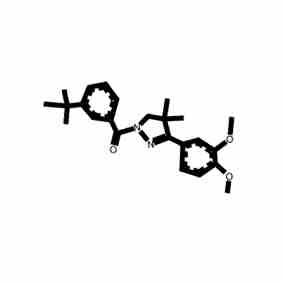 COc1ccc(C2=NN(C(=O)c3cccc(C(C)(C)C)c3)CC2(C)C)cc1OC